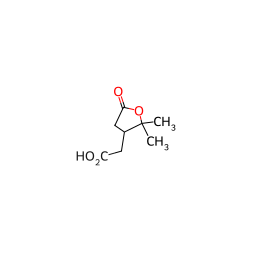 CC1(C)OC(=O)CC1CC(=O)O